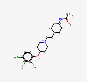 CC(=O)NC1CCC(CCN2CCC(Oc3ccc(F)c(F)c3F)CC2)CC1